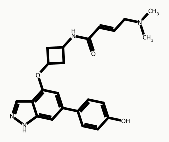 CN(C)C/C=C/C(=O)NC1CC(Oc2cc(-c3ccc(O)cc3)cc3[nH]ncc23)C1